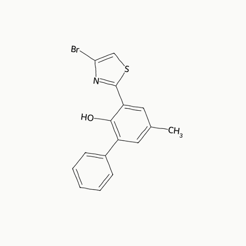 Cc1cc(-c2ccccc2)c(O)c(-c2nc(Br)cs2)c1